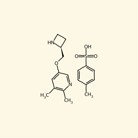 Cc1cc(OC[C@@H]2CCN2)cnc1C.Cc1ccc(S(=O)(=O)O)cc1